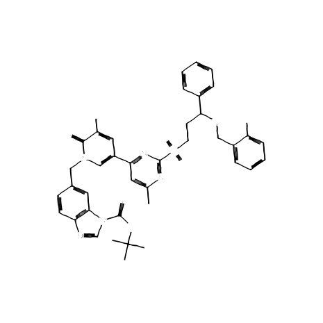 Cc1cc(-c2cc(F)c(=O)n(Cc3ccc4ncn(C(=O)OC(C)(C)C)c4c3)c2)nc(S(=O)(=O)CCC(OCc2ccccc2F)c2ccccc2)n1